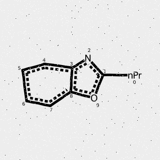 CCCc1nc2ccccc2o1